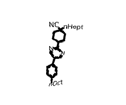 CCCCCCCCc1ccc(-c2cnc(C3CCC(C#N)(CCCCCCC)CC3)nc2)cc1